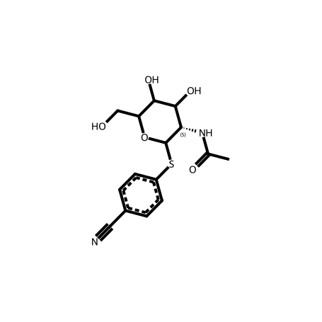 CC(=O)N[C@@H]1C(Sc2ccc(C#N)cc2)OC(CO)C(O)C1O